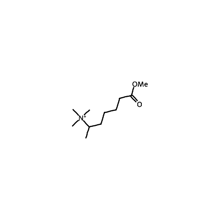 COC(=O)CCCCC(C)[N+](C)(C)C